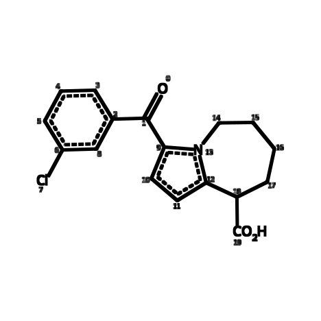 O=C(c1cccc(Cl)c1)c1ccc2n1CCCCC2C(=O)O